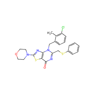 Cc1c(Cl)cccc1Cn1c(CSc2ccccc2)nc(=O)c2sc(N3CCOCC3)nc21